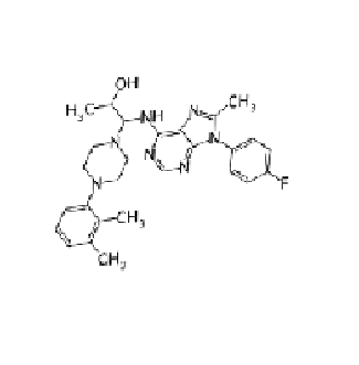 Cc1cccc(N2CCN(C(Nc3ncnc4c3nc(C)n4-c3ccc(F)cc3)C(C)O)CC2)c1C